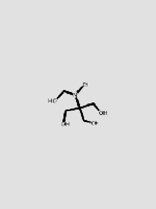 CCN(CO)C(CO)(CO)CO